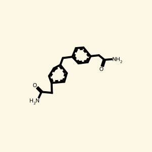 NC(=O)Cc1ccc(Cc2ccc(CC(N)=O)cc2)cc1